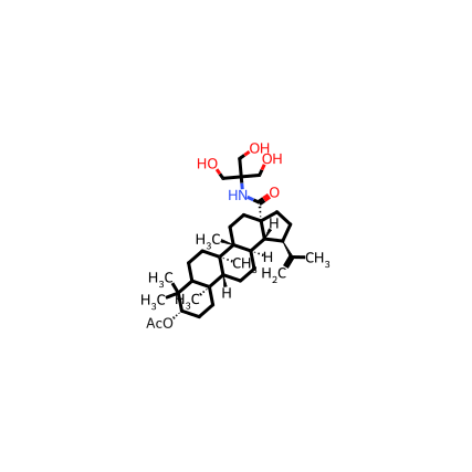 C=C(C)[C@@H]1CC[C@]2(C(=O)NC(CO)(CO)CO)CC[C@]3(C)[C@H](CC[C@@H]4[C@@]5(C)CC[C@H](OC(C)=O)C(C)(C)C5CC[C@]43C)[C@@H]12